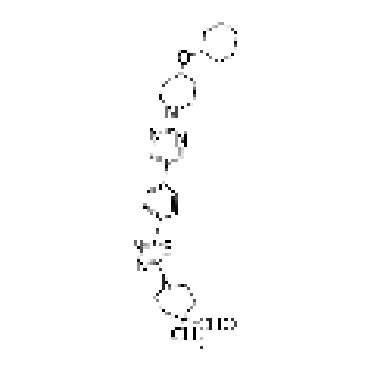 CC1(C=O)CCN(c2nnc(-c3ccc(-c4cnc(N5CCC(OC6CCCCC6)CC5)nc4)cc3)s2)CC1